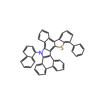 c1ccc(-c2cccc3c2sc2c3c3ccccc3c3c2c2c4ccccc4c4ccccc4c2n3-c2cccc3ccccc23)cc1